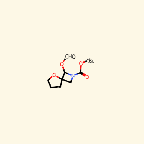 CC(C)(C)OC(=O)N1CC2(CCCO2)C1OC=O